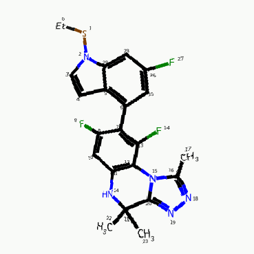 CCSn1ccc2c(-c3c(F)cc4c(c3F)-n3c(C)nnc3C(C)(C)N4)cc(F)cc21